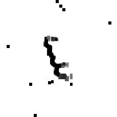 CCCCCCCCC/C=C/C(O)CC(=O)O